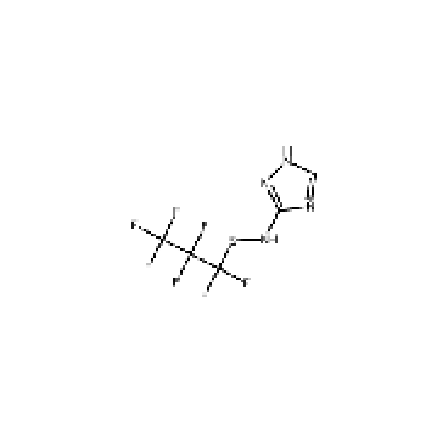 FC(F)(F)C(F)(F)C(F)(F)SNc1nc[nH]n1